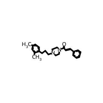 Cc1ccc(CCCN2CCN(C(=O)/C=C/c3ccccc3)CC2)c(C)c1